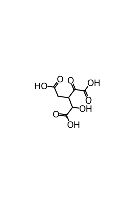 O=C(O)CC(C(=O)C(=O)O)C(O)C(=O)O